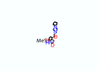 CSOc1ccc(C(=O)CCN2CCN(c3ccccc3)CC2)c2c1NC(=O)CC2